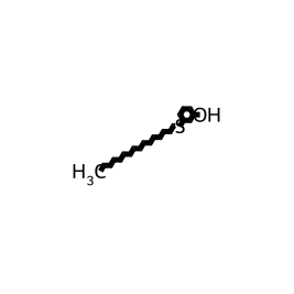 CCCCCCCCCCCCCCCCSC1CCCC(O)C1